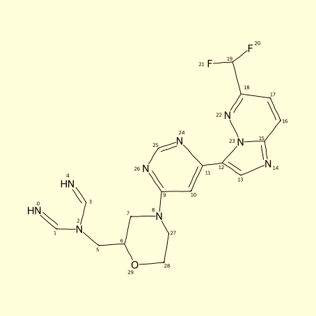 N=CN(C=N)CC1CN(c2cc(-c3cnc4ccc(C(F)F)nn34)ncn2)CCO1